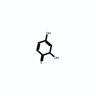 OC1=CC(O)C(=S)C=C1